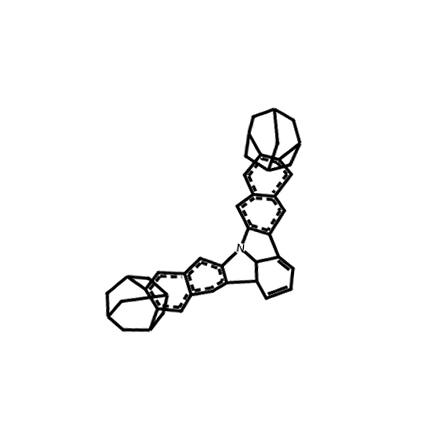 C1=CC2c3cc4cc5c(cc4cc3N3c4cc6cc7c(cc6cc4C(=C1)C23)C1CC2CC(C1)CC7C2)C1CC2CC(CC5C2)C1